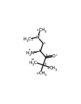 CN(C)C[C@H](N)C(=O)C(C)(C)C